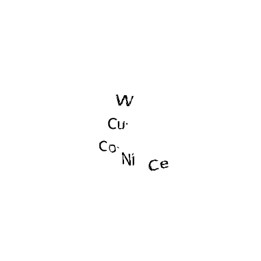 [Ce].[Co].[Cu].[Ni].[W]